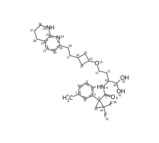 Cc1cccc(C2(C(=O)NC(CCOC3CC(CCc4ccc5c(n4)NCCC5)C3)C(O)O)CC2(F)F)c1